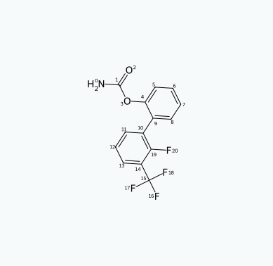 NC(=O)Oc1ccccc1-c1cccc(C(F)(F)F)c1F